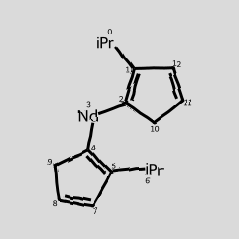 CC(C)C1=[C]([Nd][C]2=C(C(C)C)C=CC2)CC=C1